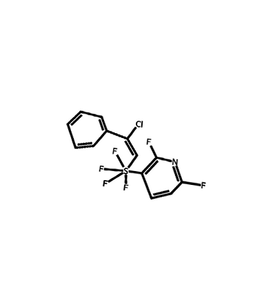 Fc1ccc(S(F)(F)(F)(F)/C=C(/Cl)c2ccccc2)c(F)n1